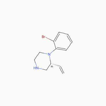 C=C[C@@H]1CNCCN1c1ccccc1Br